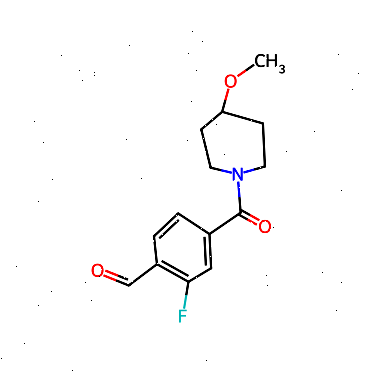 COC1CCN(C(=O)c2ccc(C=O)c(F)c2)CC1